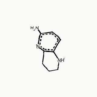 Nc1ccc2c(n1)CCCN2